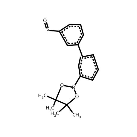 CC1(C)OB(c2cccc(-c3cccc(P=O)c3)c2)OC1(C)C